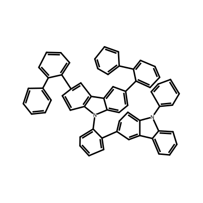 c1ccc(-c2ccccc2-c2ccc3c(c2)c2cc(-c4ccccc4-c4ccccc4)ccc2n3-c2ccccc2-c2ccc3c(c2)c2ccccc2n3-c2ccccc2)cc1